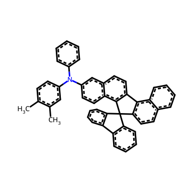 Cc1ccc(N(c2ccccc2)c2ccc3c4c(ccc3c2)-c2c(ccc3ccccc23)C42c3ccccc3-c3ccccc32)cc1C